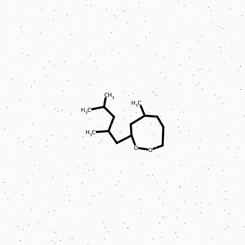 CC(C)CC(C)CC1CC(C)CCCOO1